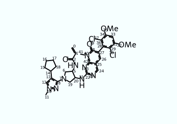 C=CC(=O)NC1CN(c2nn(C)cc2C2CCCC2)CC1Nc1ncc2cc(-c3c(Cl)c(OC)cc(OC)c3Cl)c(=O)n(C)c2n1